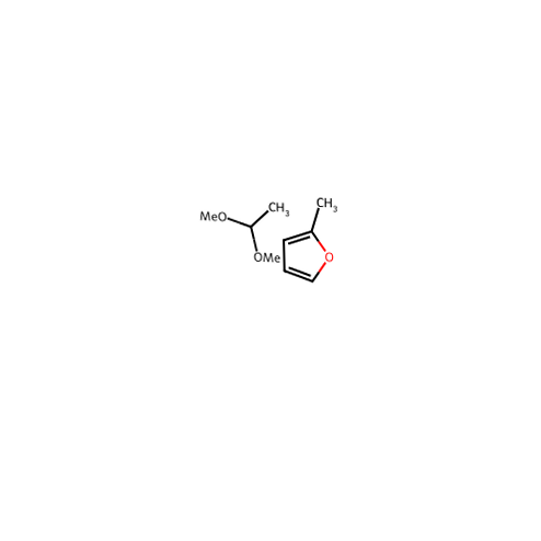 COC(C)OC.Cc1ccco1